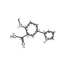 COc1ccc(-c2cccs2)cc1C(=O)O